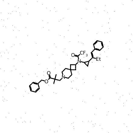 CCC(=Cc1ccccc1)C1CC1N(C(=O)C(F)(F)F)C1CC2(CCN(CC(C)(C)C(=O)OCc3ccccc3)CC2)C1